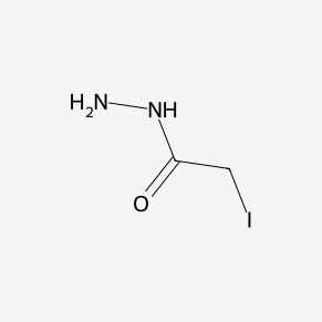 NNC(=O)CI